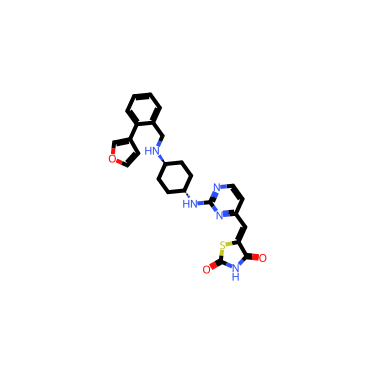 O=C1NC(=O)C(=Cc2ccnc(N[C@H]3CC[C@H](NCc4ccccc4-c4ccoc4)CC3)n2)S1